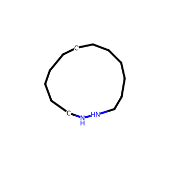 C1CCCCCCNNCCCCC1